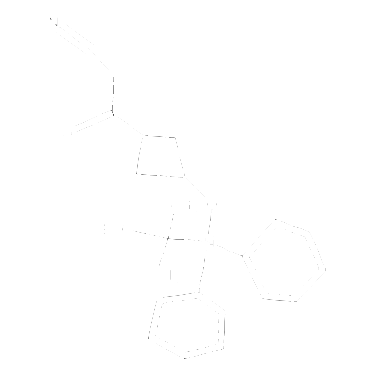 CC(C)(C)[Si](OC1CC(C(=O)CC#N)C1)(c1ccccc1)c1ccccc1